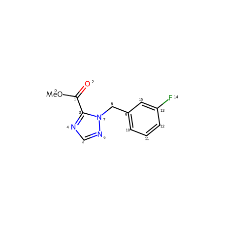 COC(=O)c1ncnn1Cc1cccc(F)c1